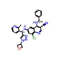 Cc1ncccc1[C@H](Nc1cc(Cl)c2ncc(C#N)c(N[C@H](C)c3ccccc3)c2c1)c1cn(C2COC2)nn1